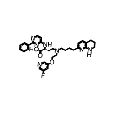 O=C(O)[C@H](CCN(CCCCc1ccc2c(n1)NCCC2)CCOc1cncc(F)c1)Nc1ccnc(-c2ccccc2)n1